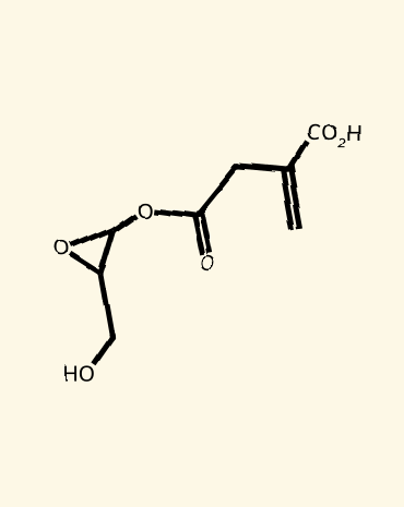 C=C(CC(=O)OC1OC1CO)C(=O)O